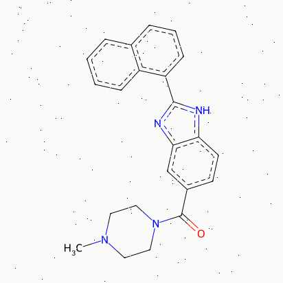 CN1CCN(C(=O)c2ccc3[nH]c(-c4cccc5ccccc45)nc3c2)CC1